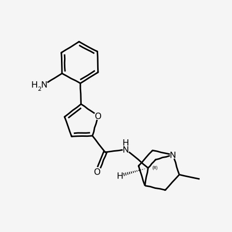 CC1CC2CCN1C[C@@H]2NC(=O)c1ccc(-c2ccccc2N)o1